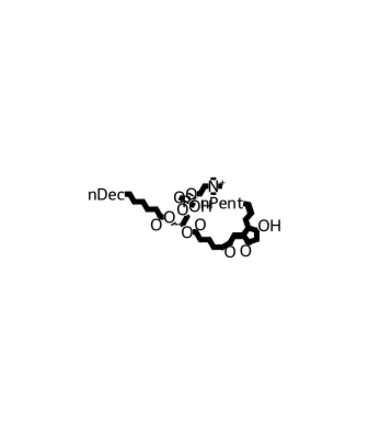 CCCCC/C=C\CC1/C(=C/C2OC2CCCC(=O)O[C@H](COC(=O)CCCCCCCCCCCCCCC)CO[P+]([O-])(O)OCC[N+](C)(C)C)C(=O)CC1O